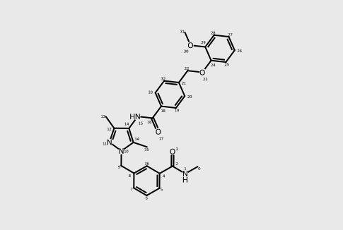 CNC(=O)c1cccc(Cn2nc(C)c(NC(=O)c3ccc(COc4ccccc4OC)cc3)c2C)c1